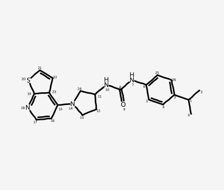 CC(C)c1ccc(NC(=O)NC2CCN(c3ccnc4sccc34)C2)cc1